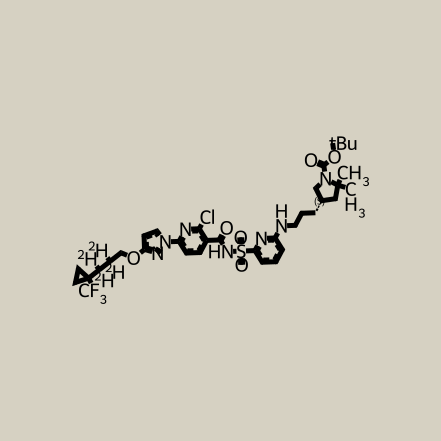 [2H]C([2H])(COc1ccn(-c2ccc(C(=O)NS(=O)(=O)c3cccc(NCCC[C@@H]4CN(C(=O)OC(C)(C)C)C(C)(C)C4)n3)c(Cl)n2)n1)C([2H])([2H])C1(C(F)(F)F)CC1